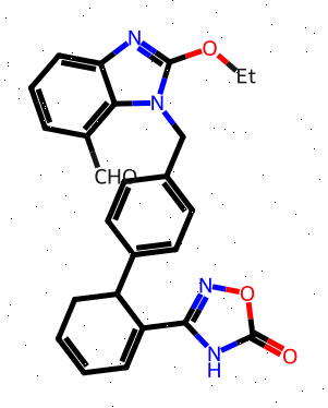 CCOc1nc2cccc(C=O)c2n1Cc1ccc(C2CC=CC=C2c2noc(=O)[nH]2)cc1